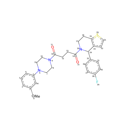 COc1cccc(N2CCN(C(=O)CCC(=O)N3CCc4sccc4C3c3ccc(F)cc3)CC2)c1